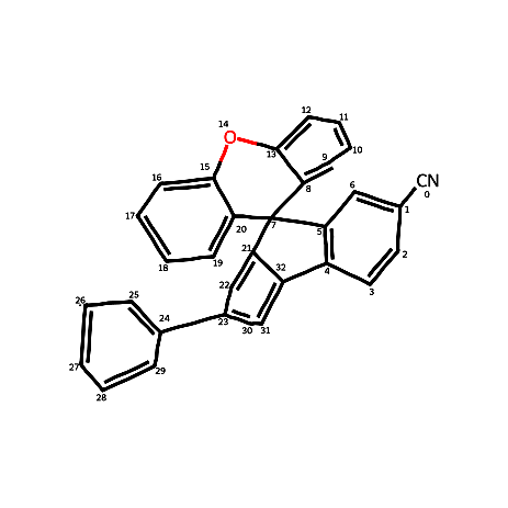 N#Cc1ccc2c(c1)C1(c3ccccc3Oc3ccccc31)c1cc(-c3c[c]ccc3)ccc1-2